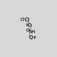 O=C(Cc1ccc(-c2cccc(Cl)c2)nc1)NCc1cccc(F)c1